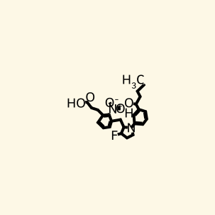 CCCCC(O)c1cccc(N2CCC(F)C2Cc2cccc(CCC(=O)O)c2[N+](=O)[O-])c1